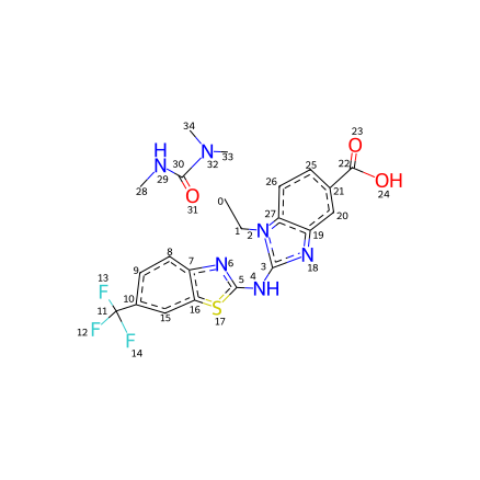 CCn1c(Nc2nc3ccc(C(F)(F)F)cc3s2)nc2cc(C(=O)O)ccc21.CNC(=O)N(C)C